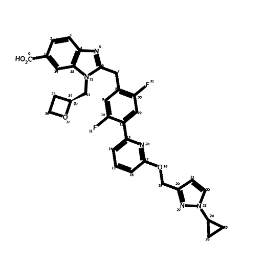 O=C(O)c1ccc2nc(Cc3cc(F)c(-c4cccc(OCc5ccn(C6CC6)n5)n4)cc3F)n(C[C@@H]3CCO3)c2c1